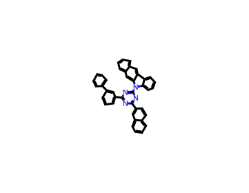 c1ccc(-c2cccc(-c3nc(-c4ccc5ccccc5c4)nc(-n4c5ccccc5c5cc6ccccc6cc54)n3)c2)cc1